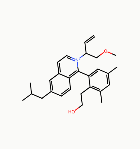 C=CC(COC)[n+]1ccc2cc(CC(C)C)ccc2c1-c1cc(C)cc(C)c1CCO